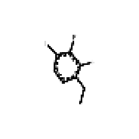 CCc1c[c]c(F)c(F)c1F